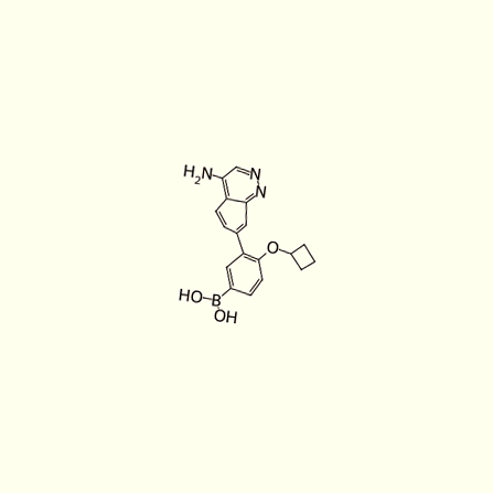 Nc1cnnc2cc(-c3cc(B(O)O)ccc3OC3CCC3)ccc12